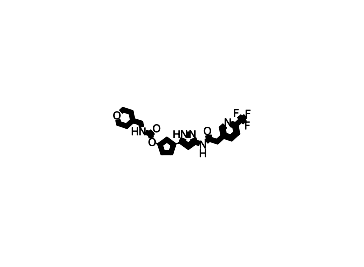 O=C(Cc1ccc(C(F)(F)F)nc1)Nc1cc([C@@H]2CC[C@H](OC(=O)NCC3CCOCC3)C2)[nH]n1